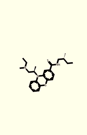 CC[C@@H](C)CNC(=S)c1ccc2c(c1)N([C@H](C)CN(C)CC)c1ccccc1S2